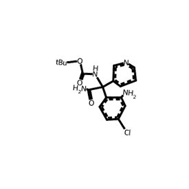 CC(C)(C)OC(=O)NC(C(N)=O)(c1cccnc1)c1ccc(Cl)cc1N